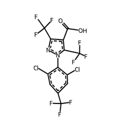 O=C(O)c1c(C(F)(F)F)nn(-c2c(Cl)cc(C(F)(F)F)cc2Cl)c1C(F)(F)F